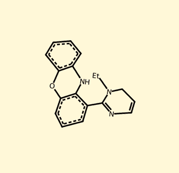 CCN1CC=CN=C1c1cccc2c1Nc1ccccc1O2